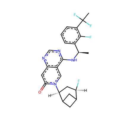 C[C@@H](Nc1ncnc2cc(=O)n([C@H]3C[C@@H](F)C4CC3C4)cc12)c1cccc(C(C)(F)F)c1F